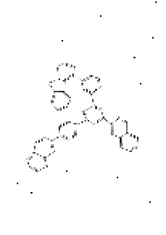 c1cc(-c2nc(-c3ccc(-c4ccc5ccccc5c4)cc3)nc(-c3ccc4ccccc4c3)n2)cc(-c2cccc3oc4ccccc4c23)c1